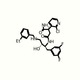 CCc1cccc(CNC[C@@H](O)[C@H](Cc2cc(F)cc(F)c2)NC(=O)CC(C(N)=O)c2cccnc2Cl)c1